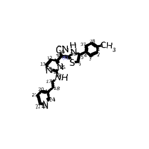 Cc1ccc(C2=CS/C(=C(/C#N)c3ccnc(NCCc4cccnc4)n3)N2)cc1